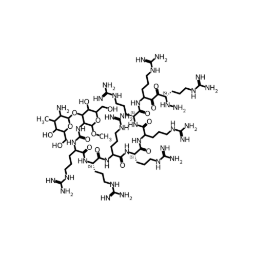 COC1OC(CO)C(O)C(OC2OC(CO)C(O)C(C)C2N)C1NC(=O)NC(CCCNC(=N)N)C(=O)N[C@@H](CCCNC(=N)N)C(=O)NC(CCCNC(=N)N)C(=O)N[C@@H](CCCNC(=N)N)C(=O)NC(CCCNC(=N)N)C(=O)N[C@@H](CCCNC(=N)N)C(=O)NC(CCCNC(=N)N)C(=O)C(=O)[C@H](CCCNC(=N)N)NN